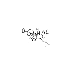 CCO[C@]1(N(NC(=O)OC(C)(C)C)C(=O)CCC(C)(C)C)CCC(=O)O1